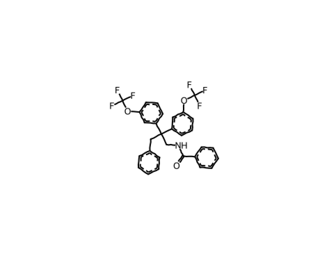 O=C(NCC(Cc1ccccc1)(c1cccc(OC(F)(F)F)c1)c1cccc(OC(F)(F)F)c1)c1ccccc1